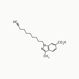 C#CCCCCCCCCn1nc(C)c2ccc(C(=O)O)cc21